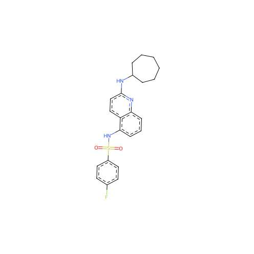 O=S(=O)(Nc1cccc2nc(NC3CCCCCC3)ccc12)c1ccc(F)cc1